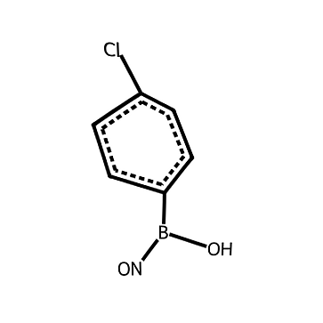 O=NB(O)c1ccc(Cl)cc1